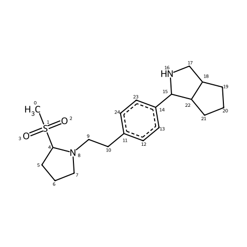 CS(=O)(=O)C1CCCN1CCc1ccc(C2NCC3CCCC32)cc1